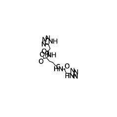 O=C(Cc1nnn[nH]1)NCCCCC(NC(=O)Cc1nnn[nH]1)C(=O)O